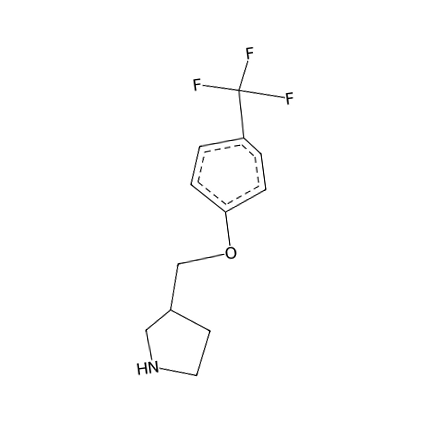 FC(F)(F)c1ccc(OCC2CCNC2)cc1